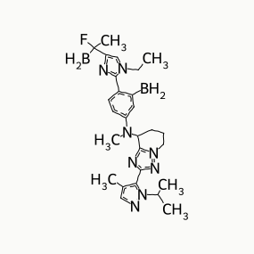 Bc1cc(N(C)C2CCCn3nc(-c4c(C)cnn4C(C)C)nc32)ccc1-c1nc(C(B)(C)F)cn1CC